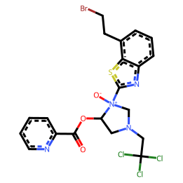 O=C(OC1CN(CC(Cl)(Cl)Cl)C[N+]1([O-])c1nc2cccc(CCBr)c2s1)c1ccccn1